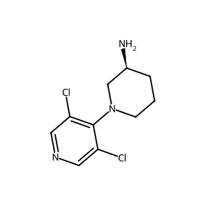 N[C@H]1CCCN(c2c(Cl)cncc2Cl)C1